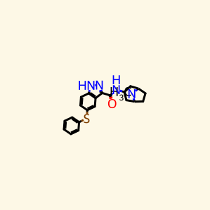 CN1C2CCC1CC(NC(=O)c1n[nH]c3ccc(Sc4ccccc4)cc13)C2